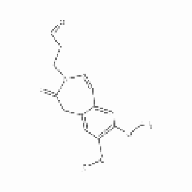 COc1cc2c(cc1OC)CC(=O)N(CCC=O)C=C2